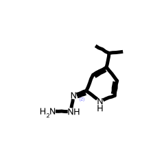 CC(C)c1cc[nH]/c(=N\NN)c1